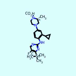 C[C@@H]1CN(c2ccc(Nc3ncc(C(F)(F)F)[c]([Sn]([CH3])([CH3])[CH3])n3)c(C3CC3)c2)CCN1C(=O)O